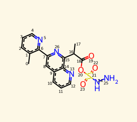 Cc1cccnc1-c1cc2cccnc2c(C(C)C(=O)OS(=O)(=O)NN)n1